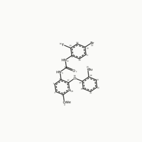 COc1ccc(NC(=O)Nc2ccc(Br)cc2F)c(Oc2ccccc2C(C)(C)C)n1